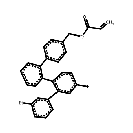 C=CC(=O)OCc1ccc(-c2ccccc2-c2ccc(CC)cc2-c2cccc(CC)c2)cc1